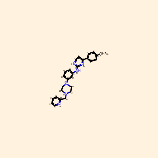 CC(=O)Nc1ccc(-c2ccnc(Nc3cccc(N4CCN(Cc5ccccn5)CC4)c3)n2)cc1